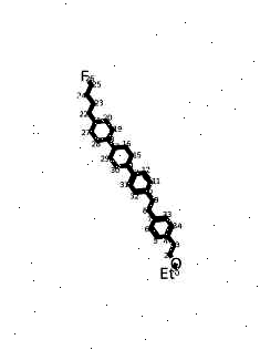 CCOCCc1ccc(CCc2ccc(C3CCC(C4CCC(CCCCF)CC4)CC3)cc2)cc1